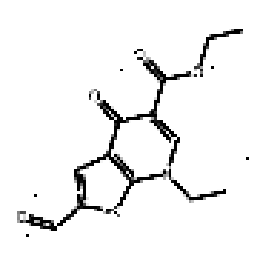 CCOC(=O)c1cn(CC)c2sc(C=O)cc2c1=O